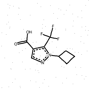 O=C(O)c1cnn(C2CCC2)c1C(F)(F)F